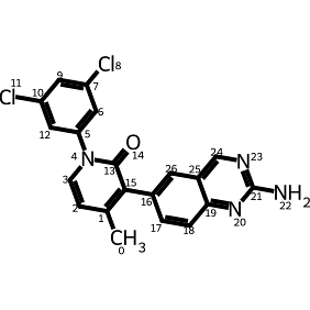 Cc1ccn(-c2cc(Cl)cc(Cl)c2)c(=O)c1-c1ccc2nc(N)ncc2c1